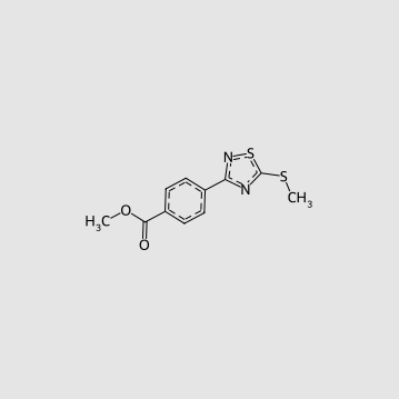 COC(=O)c1ccc(-c2nsc(SC)n2)cc1